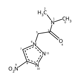 CN(C)C(=O)Cn1cc([N+](=O)[O-])nn1